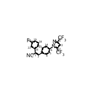 N#CC(=Cc1ccc(-n2nc(C(F)(F)F)cc2C(F)(F)F)cc1)c1cccc(F)c1